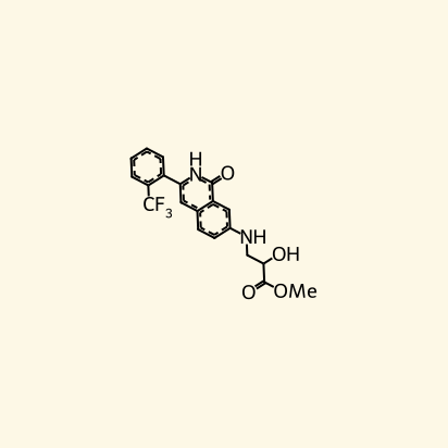 COC(=O)C(O)CNc1ccc2cc(-c3ccccc3C(F)(F)F)[nH]c(=O)c2c1